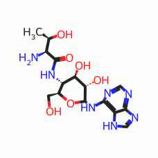 C[C@@H](O)[C@H](N)C(=O)N[C@@H]1[C@@H](O)[C@H](O)[C@@H](Nc2ncnc3nc[nH]c23)O[C@H]1CO